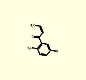 C/C=C\C(=O)c1cc(Br)ccc1C